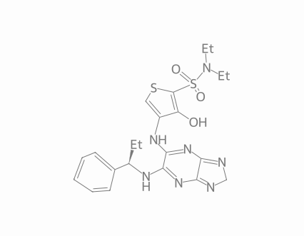 CC[C@@H](Nc1nc2c(nc1Nc1csc(S(=O)(=O)N(CC)CC)c1O)=NCN=2)c1ccccc1